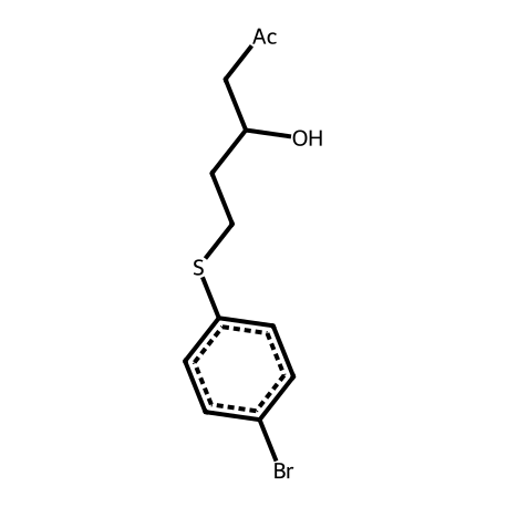 CC(=O)CC(O)CCSc1ccc(Br)cc1